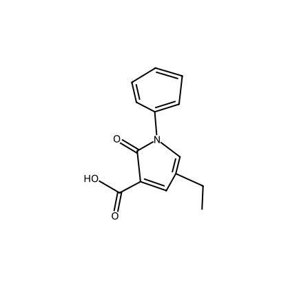 CCc1cc(C(=O)O)c(=O)n(-c2ccccc2)c1